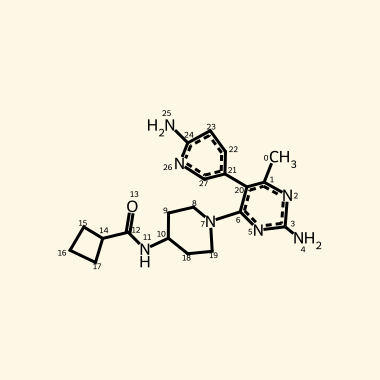 Cc1nc(N)nc(N2CCC(NC(=O)C3CCC3)CC2)c1-c1ccc(N)nc1